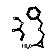 C=CC(=O)OC(C)(C)C.O=C(O)C1CC1COCc1ccccc1